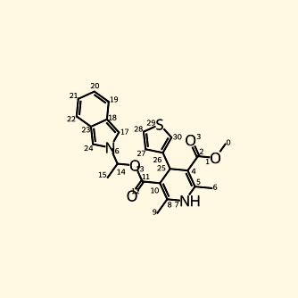 COC(=O)C1=C(C)NC(C)=C(C(=O)OC(C)n2cc3ccccc3c2)C1c1ccsc1